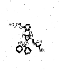 C=C(CCCC)C[C@@H](O)C=C[C@@H]1[C@H]2Oc3cccc(OCC(=O)O)c3O[C@H]2C[C@H]1O[Si](CCCC)(c1ccccc1)c1ccccc1